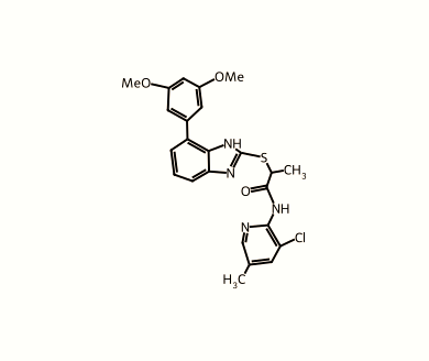 COc1cc(OC)cc(-c2cccc3nc(SC(C)C(=O)Nc4ncc(C)cc4Cl)[nH]c23)c1